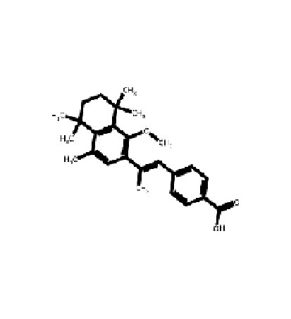 COc1c(C(C)=Cc2ccc(C(=O)O)cc2)cc(C)c2c1C(C)(C)CCC2(C)C